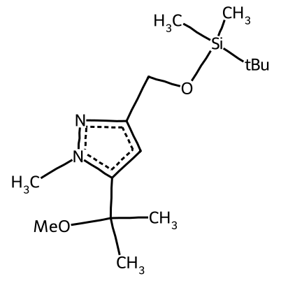 COC(C)(C)c1cc(CO[Si](C)(C)C(C)(C)C)nn1C